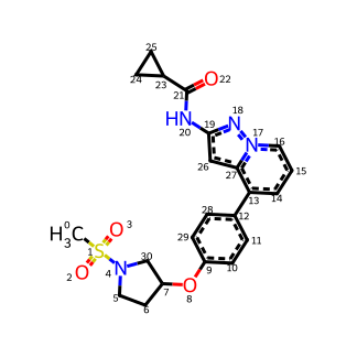 CS(=O)(=O)N1CCC(Oc2ccc(-c3cccn4nc(NC(=O)C5CC5)cc34)cc2)C1